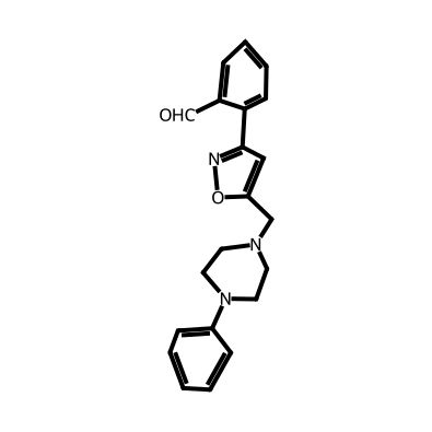 O=Cc1ccccc1-c1cc(CN2CCN(c3ccccc3)CC2)on1